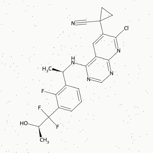 C[C@@H](Nc1ncnc2nc(Cl)c(C3(C#N)CC3)cc12)c1cccc(C(F)(F)[C@@H](C)O)c1F